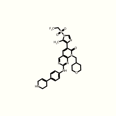 Cc1c(-c2cc3cnc(Nc4ccc(C5=CCNCC5)cc4)nc3n(CC3CCOCC3)c2=O)ncn1S(=O)(=O)CC(F)(F)F